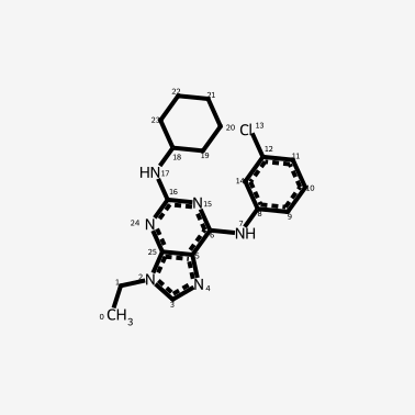 CCn1cnc2c(Nc3cccc(Cl)c3)nc(NC3CCCCC3)nc21